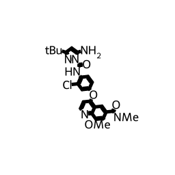 CNC(=O)c1cc2c(Oc3ccc(NC(=O)n4nc(C(C)(C)C)cc4N)c(Cl)c3)ccnc2cc1OC